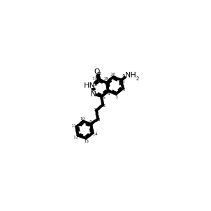 Nc1ccc2c(CCCc3ccccc3)n[nH]c(=O)c2c1